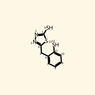 Sc1nnc(Cc2ccccc2S)s1